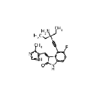 CCC(N)(C#Cc1c(F)ccc2c1C(=Cc1[nH]cnc1C)C(=O)N2)CC